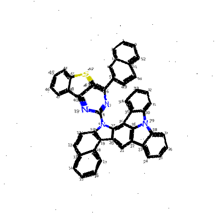 c1ccc2cc(-c3nc(-n4c5ccc6ccccc6c5c5cc6c7ccccc7n7c8ccccc8c(c54)c67)nc4c3sc3ccccc34)ccc2c1